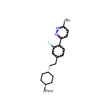 CCCCC[C@H]1CC[C@H](CCc2ccc(-c3ccc(CCCC)nn3)c(F)c2)CC1